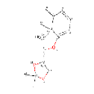 CC1C=CC=C(OC[C@@H]2COC(C)(C)O2)C1(C)C(=O)O